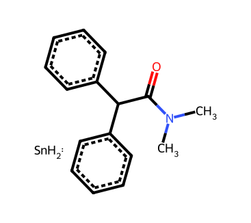 CN(C)C(=O)C(c1ccccc1)c1ccccc1.[SnH2]